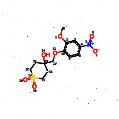 COc1cc([N+](=O)[O-])ccc1OCC1(O)CCS(=O)(=O)CC1